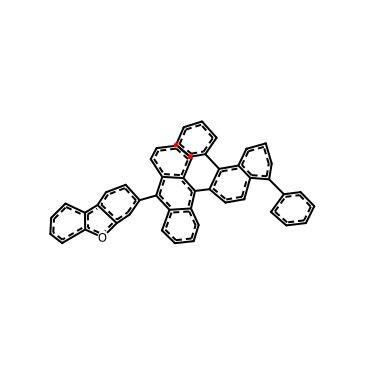 c1ccc(-c2cccc3c(-c4ccccc4)c(-c4c5ccccc5c(-c5ccc6c(c5)oc5ccccc56)c5ccccc45)ccc23)cc1